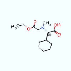 CCOC(=O)CN(C)[C@H](C(=O)O)C1CCCCC1